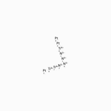 [N-3].[N-3].[N-3].[N-3].[Pt].[Pt].[Pt].[Ti+4].[Ti+4].[Ti+4]